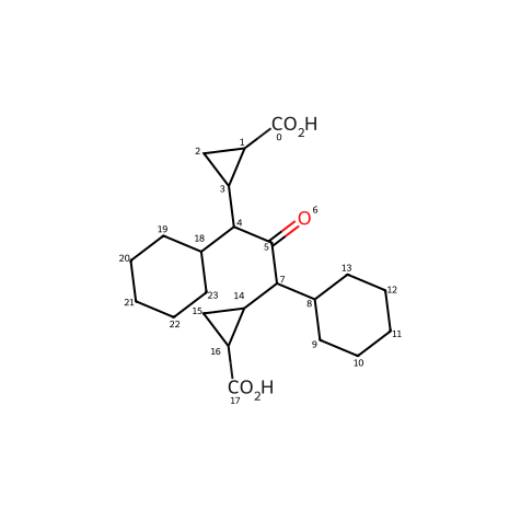 O=C(O)C1CC1C(C(=O)C(C1CCCCC1)C1CC1C(=O)O)C1CCCCC1